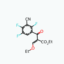 CCOC=C(C(=O)OCC)C(=O)c1cc(F)c(F)c(C#N)c1F